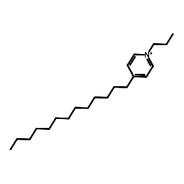 CCCCCCCCCCCCCc1cc[n+](CCC)cc1